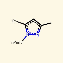 CCCCCn1nc(C)cc1C(C)C